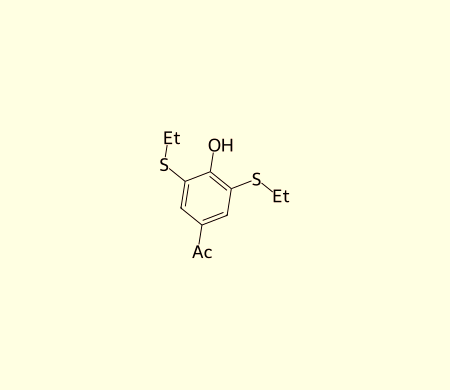 CCSc1cc(C(C)=O)cc(SCC)c1O